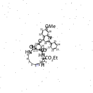 CCOC(=O)[C@@]12C[C@H]1/C=C\CCCCNC(=O)[C@@H]1C[C@H](Oc3cc(-c4ccccc4)nc4cc(OC)ccc34)C[C@H]1C(=O)N2